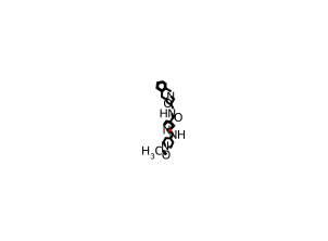 CC(=O)N1CCC(Nc2cc(C(=O)NCC3CN4Cc5ccccc5CC4O3)ccn2)CC1